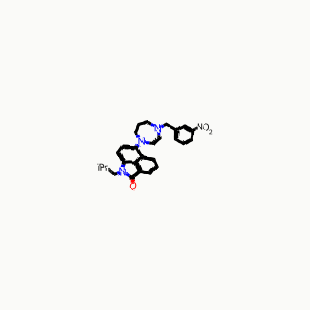 CC(C)CN1C(=O)c2cccc3c(N4CCCN(Cc5cccc([N+](=O)[O-])c5)CC4)ccc1c23